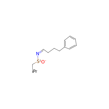 CC(C)C[S+]([O-])/N=C\CCCc1ccccc1